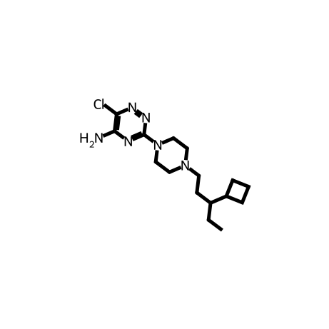 CCC(CCN1CCN(c2nnc(Cl)c(N)n2)CC1)C1CCC1